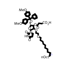 CCCCCCCC/C=C\CCCCCCCCOCCOC1C(OC(=O)CCC(=O)O)[C@@H](COC(c2ccccc2)(c2ccc(OC)cc2)c2ccc(OC)cc2)O[C@H]1n1ccc(=O)[nH]c1=O